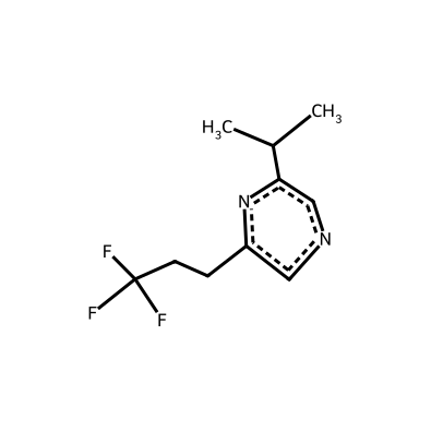 CC(C)c1cncc(CCC(F)(F)F)n1